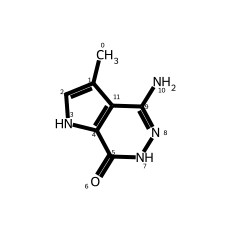 Cc1c[nH]c2c(=O)[nH]nc(N)c12